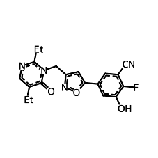 CCc1cnc(CC)n(Cc2cc(-c3cc(O)c(F)c(C#N)c3)on2)c1=O